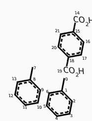 Cc1ccccc1.Cc1ccccc1.O=C(O)c1ccc(C(=O)O)cc1